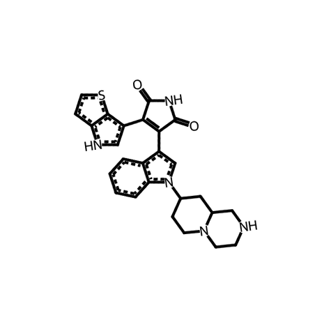 O=C1NC(=O)C(c2c[nH]c3ccsc23)=C1c1cn(C2CCN3CCNCC3C2)c2ccccc12